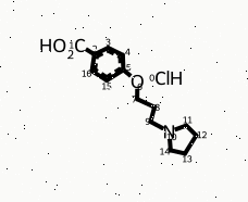 Cl.O=C(O)c1ccc(OCCCN2CCCC2)cc1